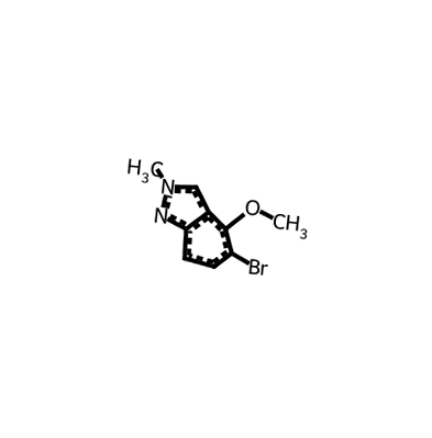 COc1c(Br)ccc2nn(C)cc12